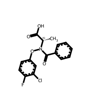 C[C@@H](C(=O)O)N(Oc1ccc(F)c(Cl)c1)C(=O)c1ccccc1